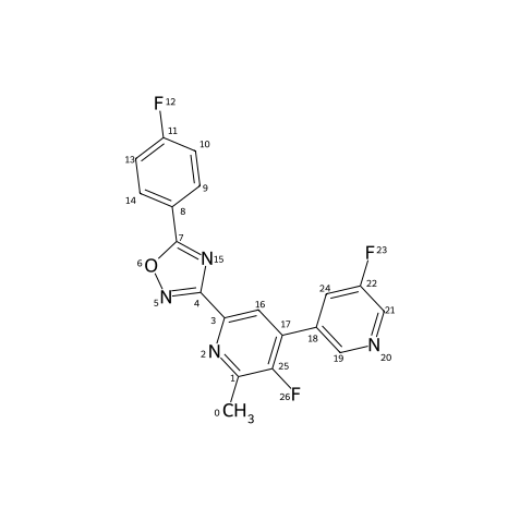 Cc1nc(-c2noc(-c3ccc(F)cc3)n2)cc(-c2cncc(F)c2)c1F